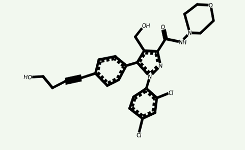 O=C(NN1CCOCC1)c1nn(-c2ccc(Cl)cc2Cl)c(-c2ccc(C#CCCO)cc2)c1CO